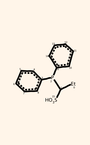 CCC(P(c1ccccc1)c1ccccc1)S(=O)(=O)O